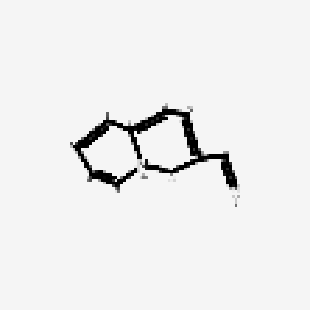 O=[C]C1=CC=C2C=CC=CN2C1